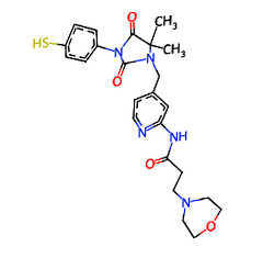 CC1(C)C(=O)N(c2ccc(S)cc2)C(=O)N1Cc1ccnc(NC(=O)CCN2CCOCC2)c1